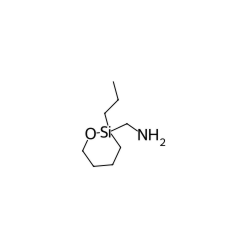 CCC[Si]1(CN)CCCCO1